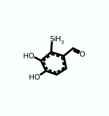 O=Cc1ccc(O)c(O)c1[SiH3]